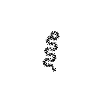 C[SiH](C)O[Si](C)(C)O[Si](C)(C)O[Si](C)(C)O[Si](C)(C)O[Si](C)(C)O[Si](C)(C)O[Si](C)(C)O[Si](C)(C)O[Si](C)(C)O[Si](C)(C)O[Si](C)(C)O[Si](C)(C)O[Si](C)(C)O[Si](C)(C)O[Si](C)(C)O[Si](C)(C)O[Si](C)(C)O[Si](C)(C)O[Si](C)(C)O[Si](C)(C)O[Si](C)(C)O[Si](C)(C)O[Si](C)(C)O[Si](C)(C)O[Si](C)(C)O[Si](C)(C)OO[Si](C)(C)C